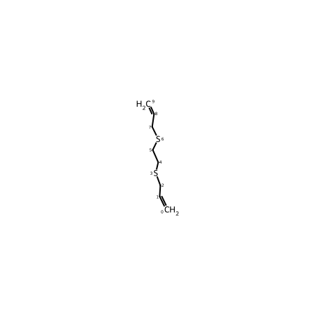 C=CCSCCSCC=C